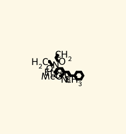 C=CC(=O)N(C(=O)C=C)C(/C=C(/C=C/C1CCCCC1)C(=N/C)\OC)=C(/C)CC